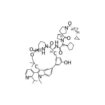 CCn1c(-c2cccnc2C(C)C)c2c3cc(ccc31)-c1cc(O)cc(c1)C[C@H](NC(=O)[C@H](C1CCCC1)N1CC[C@]3(CCN(C(=O)[C@@H]4C[C@@H]4C4CC4)C3)C1=O)C(=O)N1CCC[C@H](N1)C(=O)OCC(C)(C)C2